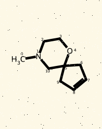 CN1CCOC2(CC=CC2)C1